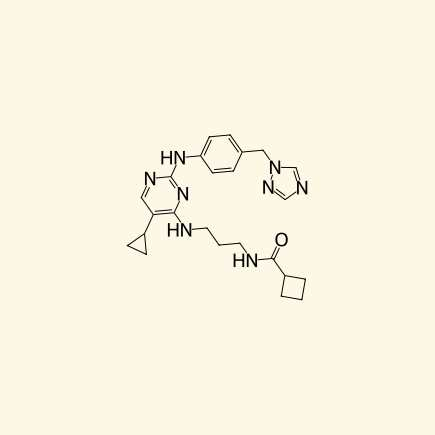 O=C(NCCCNc1nc(Nc2ccc(Cn3cncn3)cc2)ncc1C1CC1)C1CCC1